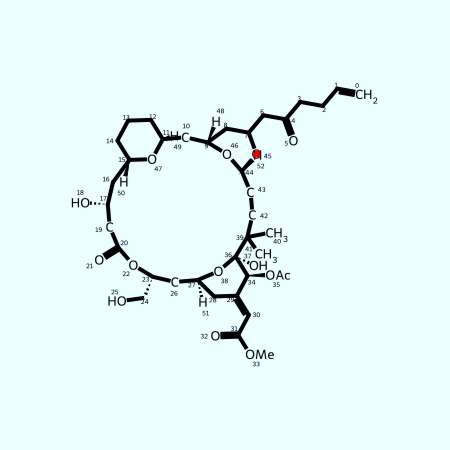 C=CCCC(=O)CC1C[C@H]2C[C@H]3CCC[C@@H](C[C@@H](O)CC(=O)O[C@@H](CO)C[C@@H]4C/C(=C\C(=O)OC)[C@H](OC(C)=O)[C@@](O)(O4)C(C)(C)CC[C@@H](O1)O2)O3